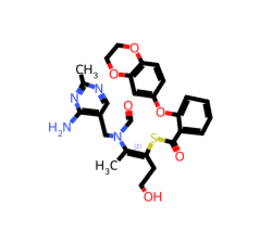 C/C(=C(\CCO)SC(=O)c1ccccc1Oc1ccc2c(c1)OCCO2)N(C=O)Cc1cnc(C)nc1N